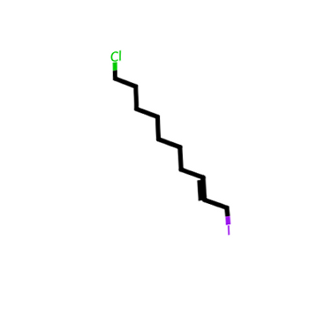 ClCCCCCCCC=CCI